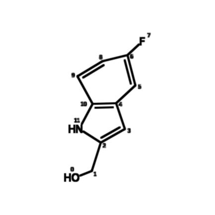 OCc1cc2cc(F)ccc2[nH]1